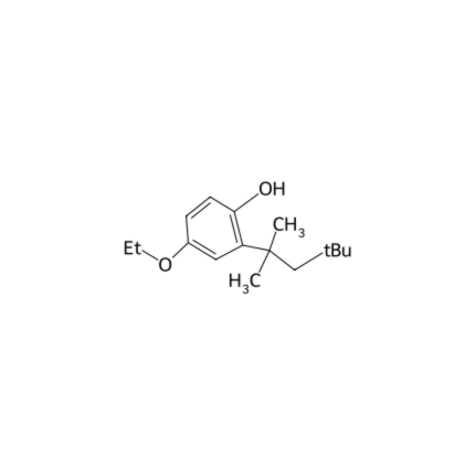 CCOc1ccc(O)c(C(C)(C)CC(C)(C)C)c1